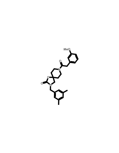 COc1cccc(CC(=O)N2CCC3(CC2)CN(Cc2cc(C)cc(C)c2)C(=O)O3)c1